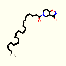 CC/C=C\C/C=C\C/C=C\C/C=C\C/C=C\C/C=C\CCC(=O)N1CCC2ON=C(O)C2C1